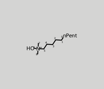 CCCCCCCCCC[N+](C)(C)O